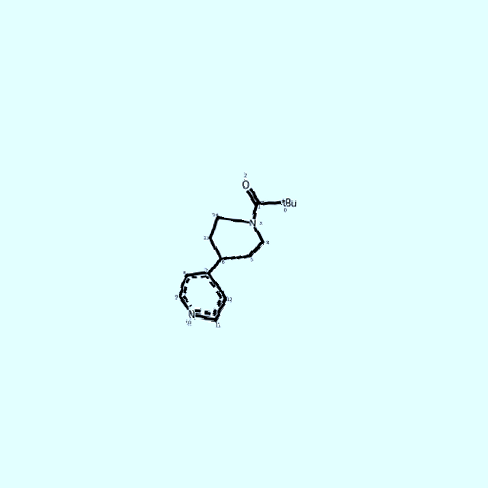 CC(C)(C)C(=O)N1CCC(c2ccncc2)CC1